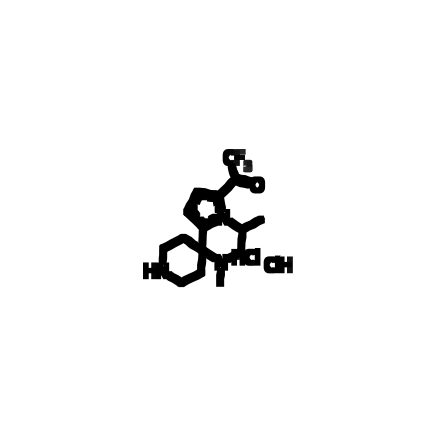 CC1CN(C)C2(CCNCC2)c2ccc(C(=O)C(F)(F)F)n21.Cl.Cl